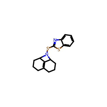 c1ccc2sc(SN3C4CCCC5=C4C3CCC5)nc2c1